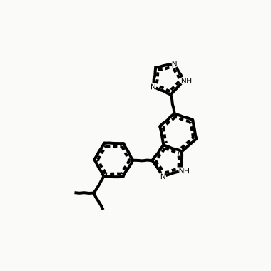 CC(C)c1cccc(-c2n[nH]c3ccc(-c4ncn[nH]4)cc23)c1